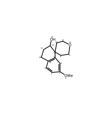 COc1ccc2c(c1)C1(CCOCC1)C(O)CC2